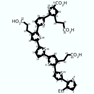 CCc1ccsc1-c1ccc(-c2sc(-c3ccc(-c4cc(CCC(=O)O)c(-c5ccc(-c6sc(C(=O)O)cc6CCC(=O)O)s5)s4)s3)cc2CCC(=O)O)s1